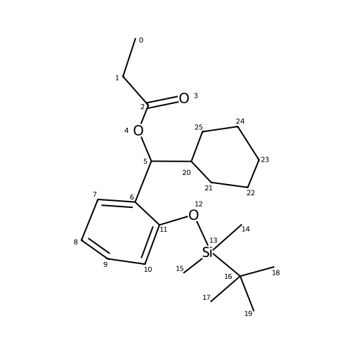 CCC(=O)OC(c1ccccc1O[Si](C)(C)C(C)(C)C)C1CCCCC1